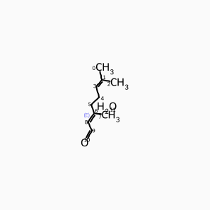 CC(C)=CCC/C(C)=C/C=O.O